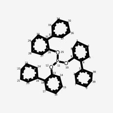 c1ccc(-c2ccccc2OP(Oc2ccccc2-c2ccccc2)Oc2ccccc2-c2ccccc2)cc1